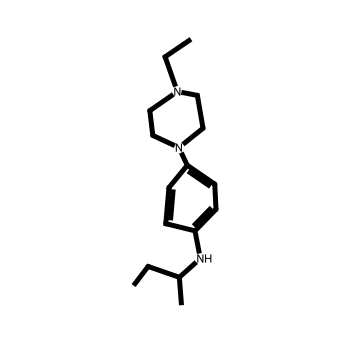 CCC(C)Nc1ccc(N2CCN(CC)CC2)cc1